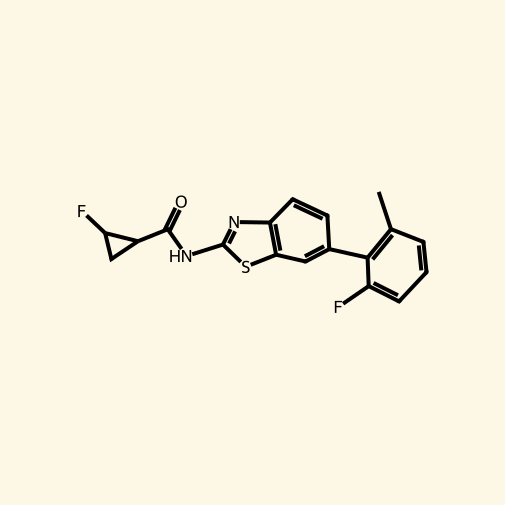 Cc1cccc(F)c1-c1ccc2nc(NC(=O)C3CC3F)sc2c1